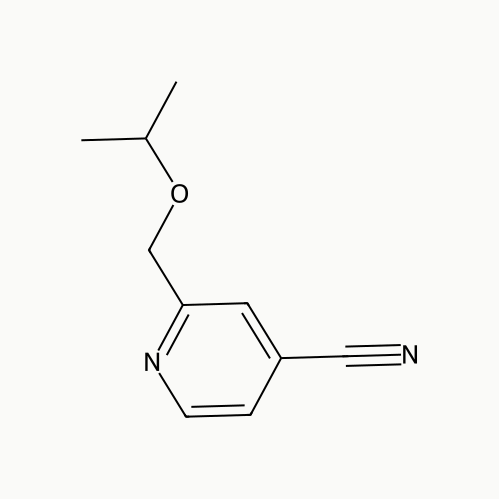 CC(C)OCc1cc(C#N)ccn1